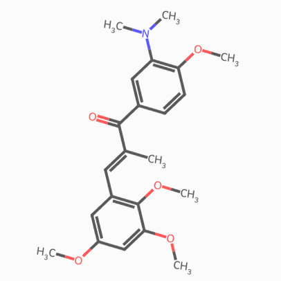 COc1cc(/C=C(\C)C(=O)c2ccc(OC)c(N(C)C)c2)c(OC)c(OC)c1